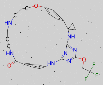 O=C1NCCCNCCCOc2ccc(cc2)C2(CC2)Nc2nc(nc(OCC(F)(F)F)n2)Nc2ccc1cc2